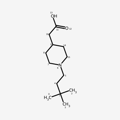 CC(C)(C)CCN1CCC(CC(=O)O)CC1